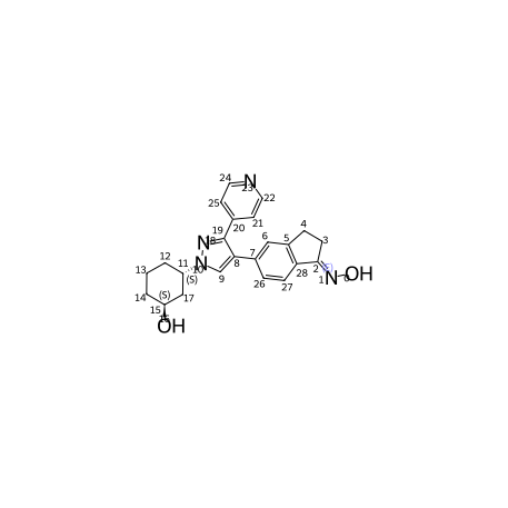 O/N=C1\CCc2cc(-c3cn([C@H]4CCC[C@H](O)C4)nc3-c3ccncc3)ccc21